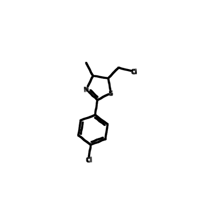 CC1N=C(c2ccc(Cl)cc2)SC1CCl